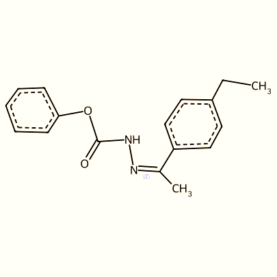 CCc1ccc(/C(C)=N\NC(=O)Oc2ccccc2)cc1